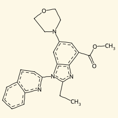 CCc1nc2c(C(=O)OC)cc(N3CCOCC3)cc2n1-c1ccc2ccccc2n1